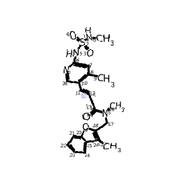 CNS(=O)(=O)Nc1cc(C)c(/C=C/C(=O)N(C)Cc2oc3ccccc3c2C)cn1